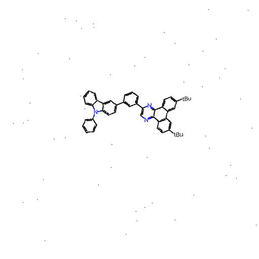 CC(C)(C)c1ccc2c(c1)c1cc(C(C)(C)C)ccc1c1nc(-c3cccc(-c4ccc5c(c4)c4ccccc4n5-c4ccccc4)c3)cnc21